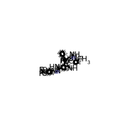 Cc1cccc(C)c1/N=C(/N)SCc1oc(-c2cc(C(=N)/N=C\Nc3ccc(OC(F)(F)F)cc3)ccc2C=N)nc1-c1ccccc1